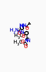 COc1c(Nc2cc(NC(=O)C3CC3)ncc2C(N)=O)cccc1-c1cnn([C@H]2COC[C@H]2OC)c1